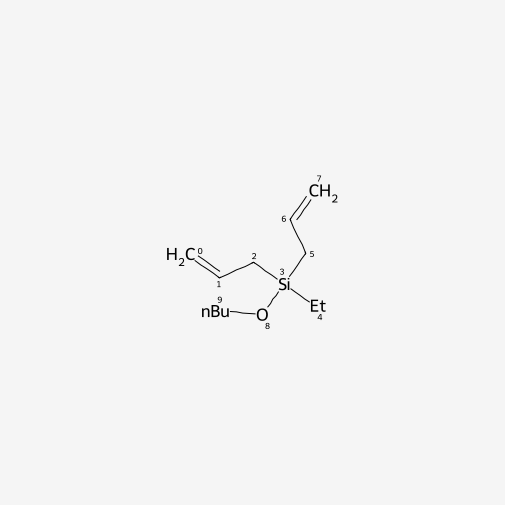 C=CC[Si](CC)(CC=C)OCCCC